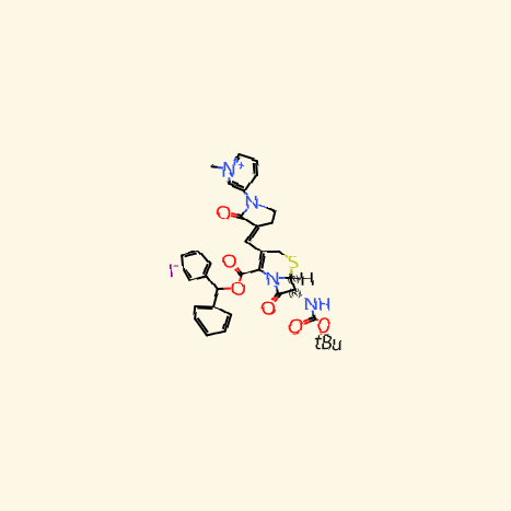 C[n+]1cccc(N2CCC(=CC3=C(C(=O)OC(c4ccccc4)c4ccccc4)N4C(=O)[C@@H](NC(=O)OC(C)(C)C)[C@H]4SC3)C2=O)c1.[I-]